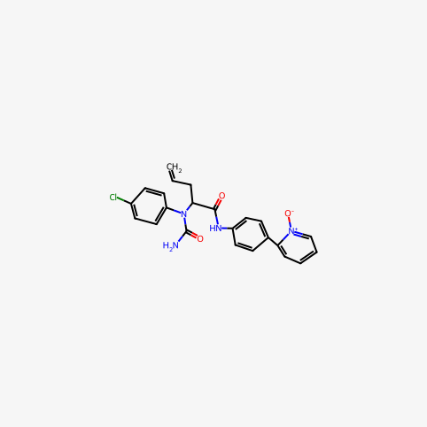 C=CCC(C(=O)Nc1ccc(-c2cccc[n+]2[O-])cc1)N(C(N)=O)c1ccc(Cl)cc1